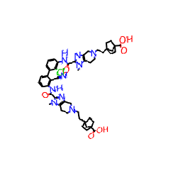 Cn1c(C(=O)Nc2cccc(-c3cccc(NC(=O)c4nc5c(n4C)CCN(CCC46CCC(C(=O)O)(CC4)C6)C5)c3C#N)c2Cl)nc2c1CCN(CCC13CCC(C(=O)O)(CC1)C3)C2